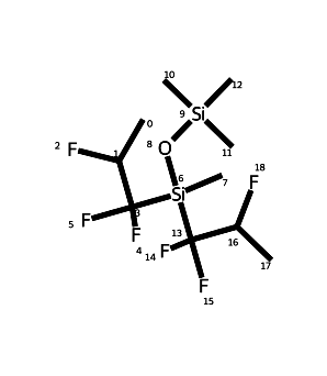 CC(F)C(F)(F)[Si](C)(O[Si](C)(C)C)C(F)(F)C(C)F